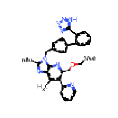 CCCCc1nc2c(C)c(-c3ccccn3)c(COCSC)nc2n1Cc1ccc(-c2ccccc2-c2nnn[nH]2)cc1